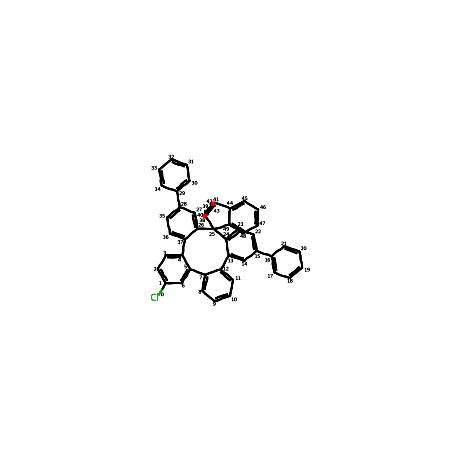 Clc1ccc2c(c1)-c1ccccc1-c1cc(-c3ccccc3)ccc1C1(c3cc(-c4ccccc4)ccc3-2)c2ccccc2-c2ccccc21